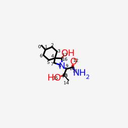 CC1CCC2(CC1)CN(C(C(N)=O)[C@@H](C)O)C2O